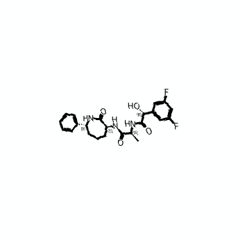 C[C@H](NC(=O)[C@H](O)c1cc(F)cc(F)c1)C(=O)N[C@H]1CCC[C@H](c2ccccc2)NC1=O